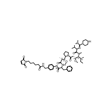 CC[C@H](C)[C@@H]([C@@H](CC(=O)N1CCCC1[C@H](OC)[C@@H](C)C(=O)NC(Cc1ccccc1)C(=O)Nc1ccc(CNC(=O)CCCCCN2C(=O)C=CC2=O)cc1)OC)N(C)C(=O)C(N=C(N(C)C)N1CCNCC1)C(C)C